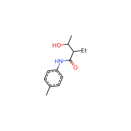 CCC(C(=O)Nc1ccc(C)cc1)C(C)O